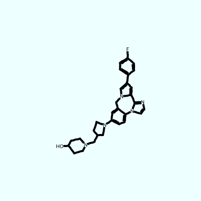 OC1CCN(CC2CCN(c3ccc4c(c3)Cn3cc(-c5ccc(F)cc5)cc3-c3nccn3-4)C2)CC1